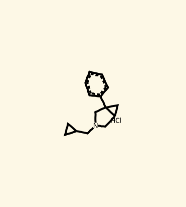 Cl.c1ccc(C23CC2CN(CC2CC2)C3)cc1